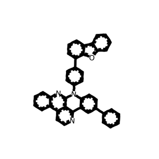 c1ccc(-c2ccc3c(c2)-c2nccc4c2c(nc2ccccc24)N3c2ccc(-c3cccc4c3oc3ccccc34)cc2)cc1